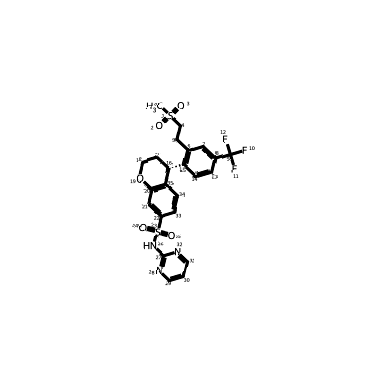 CS(=O)(=O)CCc1cc(C(F)(F)F)ccc1[C@H]1CCOc2cc(S(=O)(=O)Nc3ncccn3)ccc21